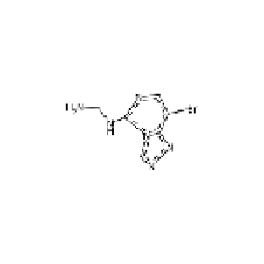 NCNc1ncc(Br)c2nncn12